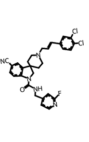 N#Cc1ccc2c(c1)C1(CCN(C/C=C/c3ccc(Cl)c(Cl)c3)CC1)CN2C(=O)NCc1ccnc(F)c1